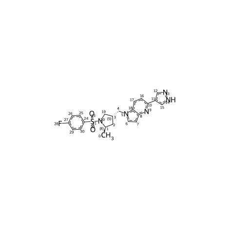 C[C@@H]1C[C@@H](Cn2ccc3nc(-c4cn[nH]c4)ccc32)CN1S(=O)(=O)c1ccc(F)cc1